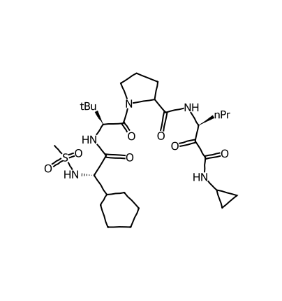 CCC[C@H](NC(=O)C1CCCN1C(=O)[C@@H](NC(=O)[C@@H](NS(C)(=O)=O)C1CCCCC1)C(C)(C)C)C(=O)C(=O)NC1CC1